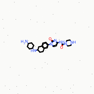 N[C@H]1CC[C@H](NC2CCc3cc(-n4ccc(NC(=O)N5CCNCC5)nc4=O)ccc3C2)CC1